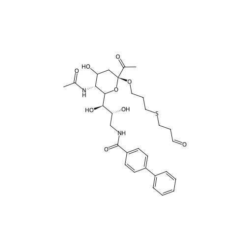 CC(=O)N[C@@H]1C(O)C[C@](OCCCSCCC=O)(C(C)=O)OC1[C@H](O)[C@H](O)CNC(=O)c1ccc(-c2ccccc2)cc1